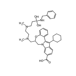 CN(CCN(C)CC1Cn2c(c(C3CCCCC3)c3ccc(C(=O)O)cc32)-c2ccccc2O1)CCS(O)(O)NCc1ccccc1